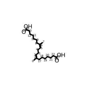 CC(=CCCC=C(C)CCCCCCC(=O)O)CCCCCCC(=O)O